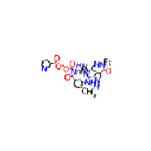 CCCN(C(=O)OCOC(=O)c1cccnc1)C(=O)c1ccc(C)c(N/C(=N/C=N)c2[nH]cc(C(=O)NCC)c2C)c1